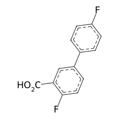 O=C(O)c1cc(-c2ccc(F)cc2)ccc1F